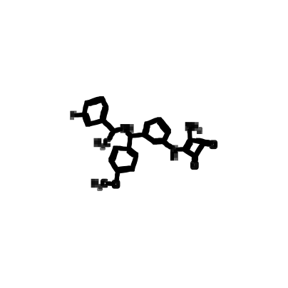 COc1ccc(C(NC(C)c2cccc(F)c2)c2cccc(Nc3c(N)c(=O)c3=O)c2)cc1